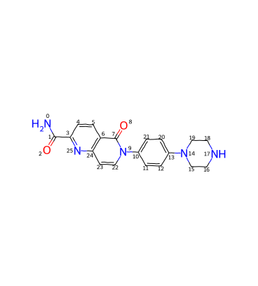 NC(=O)c1ccc2c(=O)n(-c3ccc(N4CCNCC4)cc3)ccc2n1